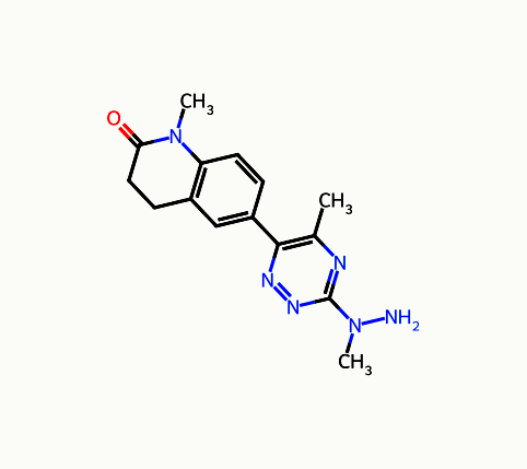 Cc1nc(N(C)N)nnc1-c1ccc2c(c1)CCC(=O)N2C